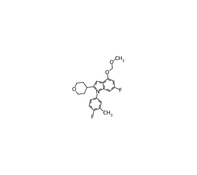 COCOc1cc(F)cc2c1cc(C1CCOCC1)n2-c1ccc(F)c(C)c1